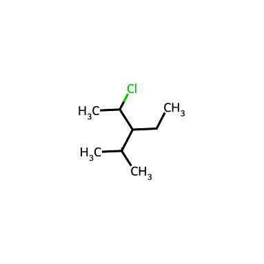 CCC([C](C)C)C(C)Cl